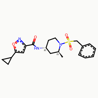 C[C@H]1C[C@H](NC(=O)c2cc(C3CC3)on2)CCN1S(=O)(=O)Cc1ccccc1